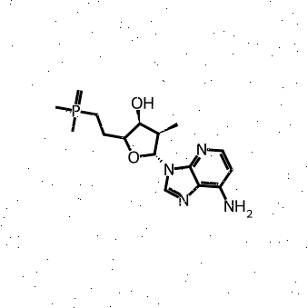 C=P(C)(C)CCC1O[C@@H](n2cnc3c(N)ccnc32)[C@H](C)[C@@H]1O